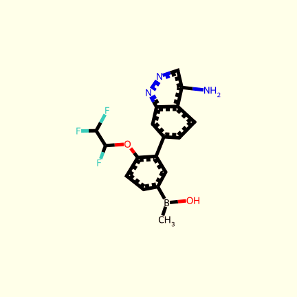 CB(O)c1ccc(OC(F)C(F)F)c(-c2ccc3c(N)cnnc3c2)c1